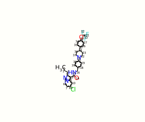 CCCc1nn2ccc(Cl)cc2c1C(=O)NCc1ccc(N2CCC(c3ccc(OC(F)(F)F)cc3)CC2)cc1